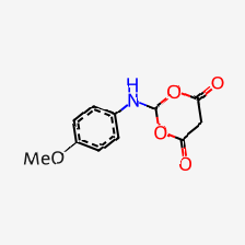 COc1ccc(NC2OC(=O)CC(=O)O2)cc1